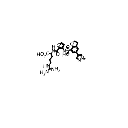 Cn1cc(-c2cc3c(c(S(=O)(=O)Nc4ccsc4C(=O)N[C@@H](CCCNC(N)N)C(=O)O)c2)OCC3)cn1